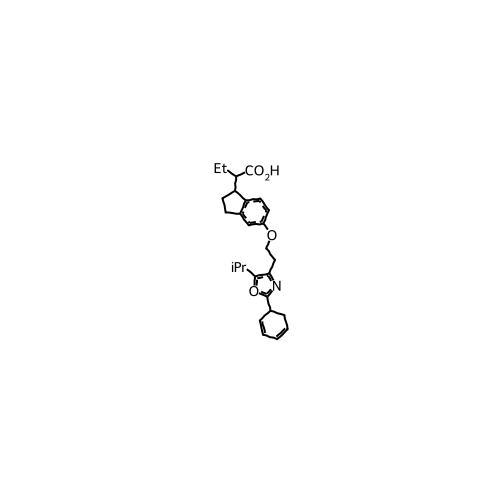 CCC(C(=O)O)C1CCc2cc(OCCc3nc(C4C=CC=CC4)oc3C(C)C)ccc21